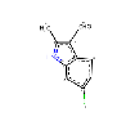 Cc1[nH]c2cc(Cl)ccc2c1C=O